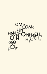 COCC(COC)Nc1cc(NCC(C)CN(C)C)ccc1C(=O)Nc1n[nH]c2ccc(S(=O)(=O)c3cc(F)cc(F)c3)cc12